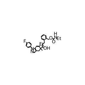 CCNC(=O)OCc1ccccc1CC[C@H](O)C1(C)Cc2cnn(-c3ccc(F)cc3)c2C=C1CC